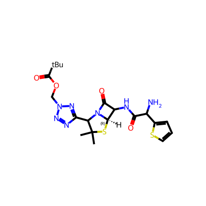 CC(C)(C)C(=O)OCn1nnc(C2N3C(=O)C(NC(=O)C(N)c4cccs4)[C@H]3SC2(C)C)n1